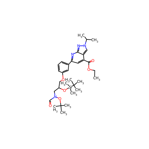 CCOC(=O)c1cc(-c2cccc(OCC(CN(C=O)OC(C)(C)C)O[Si](C)(C)C(C)(C)C)c2)nc2nn(C(C)C)cc12